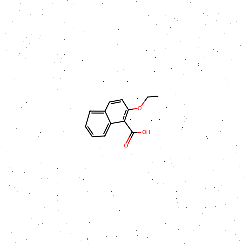 CCOc1ccc2ccccc2c1C(=O)O